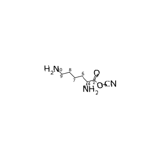 N#COC(=O)[C@@H](N)CCCCN